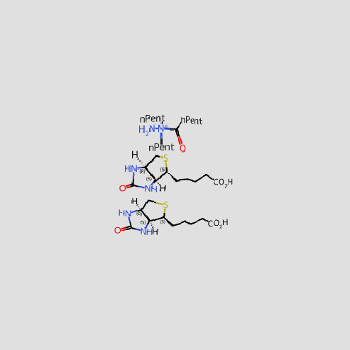 CCCCCC(=O)[N+](N)(CCCCC)CCCCC.O=C(O)CCCC[C@@H]1SC[C@@H]2NC(=O)N[C@@H]21.O=C(O)CCCC[C@@H]1SC[C@@H]2NC(=O)N[C@@H]21